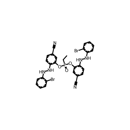 CCP(=O)(Oc1cc(C#N)ccc1NNc1ccccc1Br)Oc1cc(C#N)ccc1NNc1ccccc1Br